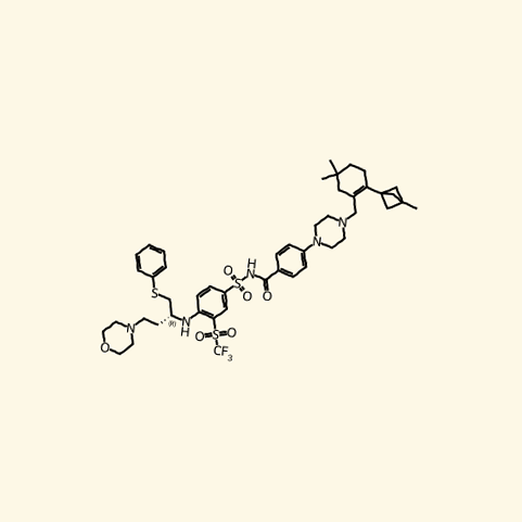 CC1(C)CCC(C23CC(C)(C2)C3)=C(CN2CCN(c3ccc(C(=O)NS(=O)(=O)c4ccc(N[C@H](CCN5CCOCC5)CSc5ccccc5)c(S(=O)(=O)C(F)(F)F)c4)cc3)CC2)C1